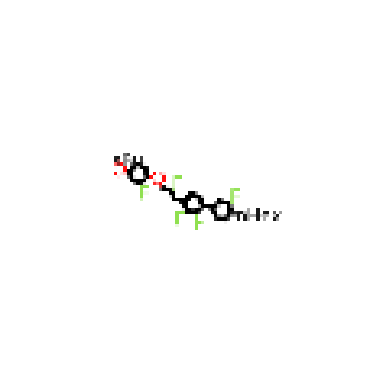 CCCCCCc1ccc(-c2ccc(CC(F)COc3ccc(OCCCC)cc3F)c(F)c2F)cc1F